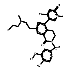 CCOc1cc([C@H](C)N2CCc3c(cc(CCN(C)CCF)cc3-c3cn(C)c(=O)cc3Cl)C2=O)ncc1C#N